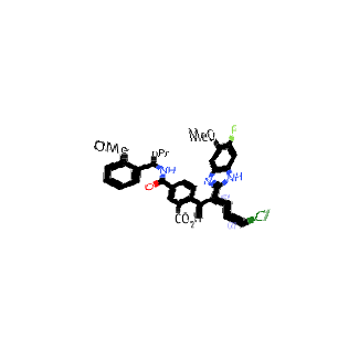 C=C(/C(=C\C=C/Cl)c1nc2cc(OC)c(F)cc2[nH]1)c1ccc(C(=O)NC(CCC)c2ccccc2OC)cc1C(=O)O